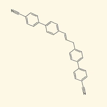 N#Cc1ccc(-c2ccc(/C=C/Cc3ccc(-c4ccc(C#N)cc4)cc3)cc2)cc1